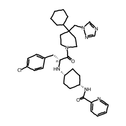 O=C(N[C@H]1CC[C@@H](N[C@H](Cc2ccc(Cl)cc2)C(=O)N2CCC(Cn3cncn3)(C3CCCCC3)CC2)CC1)c1ccccn1